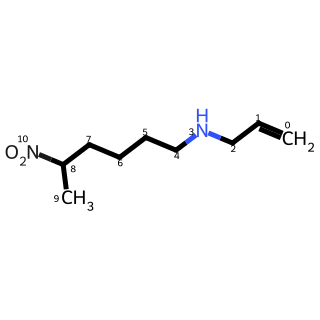 C=CCNCCCCC(C)[N+](=O)[O-]